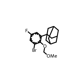 COCOc1c(Br)cc(F)cc1C12CC3CC(CC(C3)C1)C2